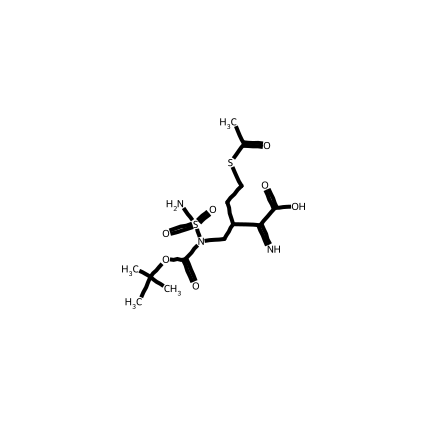 CC(=O)SCCC(CN(C(=O)OC(C)(C)C)S(N)(=O)=O)C(=N)C(=O)O